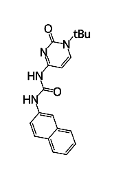 CC(C)(C)n1ccc(NC(=O)Nc2ccc3ccccc3c2)nc1=O